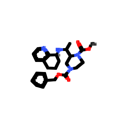 CC(N[C@H]1CCCc2cccnc21)C1CN(C(=O)OCc2ccccc2)CCN1C(=O)OC(C)(C)C